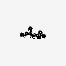 O=C(ON(CCc1ccccn1)Cc1cccc(Oc2ccccc2)c1)C(=O)ON(CCc1ccccn1)Cc1cccc(Oc2ccccc2)c1